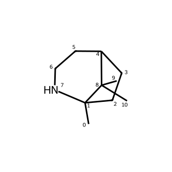 CC12CCC(CCN1)C2(C)C